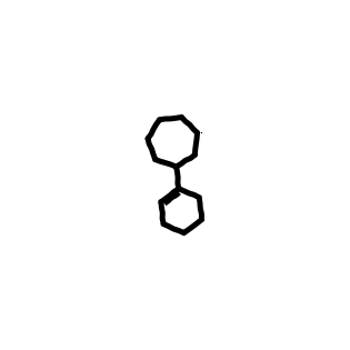 [CH]1CCCCC(C2=CCCCC2)C1